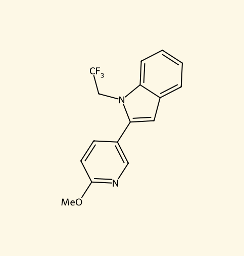 COc1ccc(-c2cc3ccccc3n2CC(F)(F)F)cn1